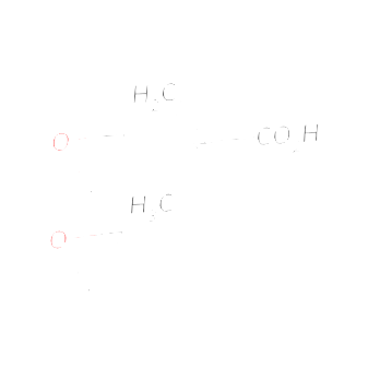 C1CO1.C1CO1.C=C(C)C(=O)O